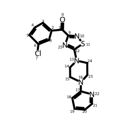 O=C(c1cccc(Cl)c1)c1nsc(N2CCN(c3ccccn3)CC2)n1